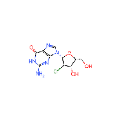 Nc1nc2c(ncn2[C@@H]2O[C@H](CO)[C@H](O)C2Cl)c(=O)[nH]1